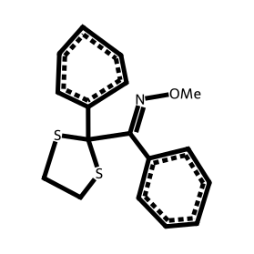 CON=C(c1ccccc1)C1(c2ccccc2)SCCS1